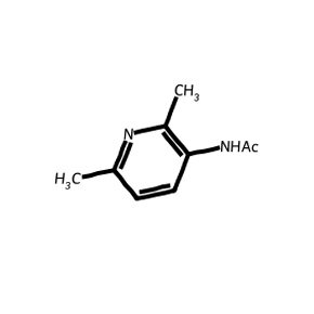 CC(=O)Nc1ccc(C)nc1C